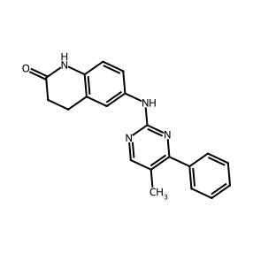 Cc1cnc(Nc2ccc3c(c2)CCC(=O)N3)nc1-c1ccccc1